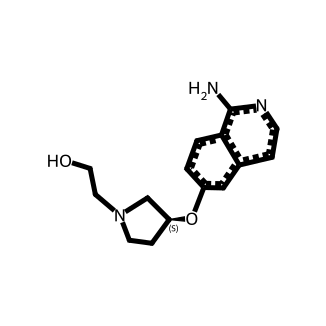 Nc1nccc2cc(O[C@H]3CCN(CCO)C3)ccc12